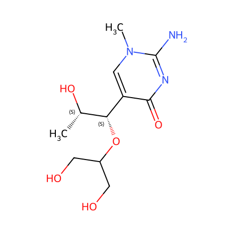 C[C@H](O)[C@@H](OC(CO)CO)c1cn(C)c(N)nc1=O